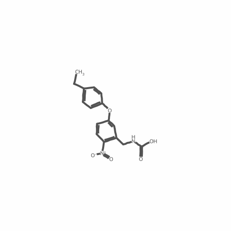 CCc1ccc(Oc2ccc([N+](=O)[O-])c(CNC(=O)O)c2)cc1